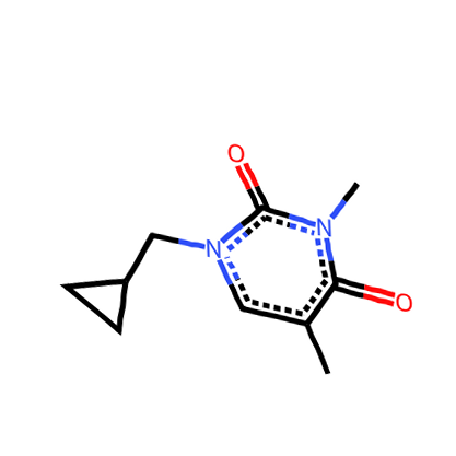 Cc1cn(CC2CC2)c(=O)n(C)c1=O